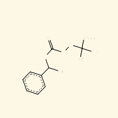 CCCCCC(C)(C)OOC(=O)OC(C)c1ccccc1